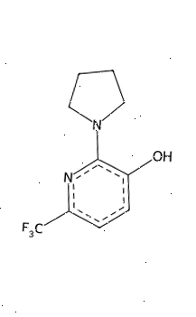 Oc1ccc(C(F)(F)F)nc1N1CCCC1